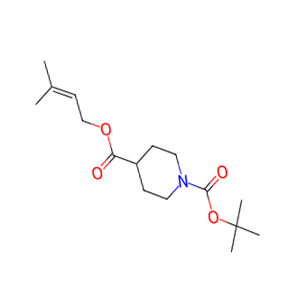 CC(C)=CCOC(=O)C1CCN(C(=O)OC(C)(C)C)CC1